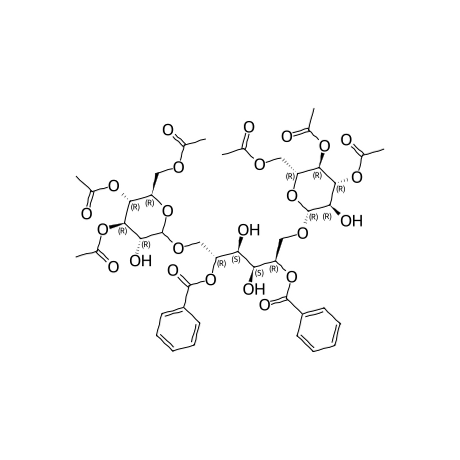 CC(=O)OC[C@H]1O[C@@H](OC[C@@H](OC(=O)c2ccccc2)[C@@H](O)[C@H](O)[C@@H](COC2O[C@H](COC(C)=O)[C@@H](OC(C)=O)[C@H](OC(C)=O)[C@H]2O)OC(=O)c2ccccc2)[C@H](O)[C@@H](OC(C)=O)[C@@H]1OC(C)=O